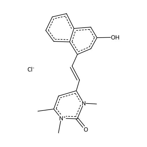 Cc1cc(/C=C/c2cc(O)cc3ccccc23)n(C)c(=O)[n+]1C.[Cl-]